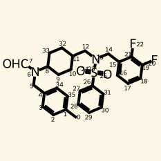 Cc1ccc(CN(C=O)C2CCC(CN(Cc3cccc(F)c3F)S(=O)(=O)c3ccccc3)CC2)cc1